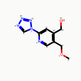 COCc1cnc(-n2cnnn2)cc1CO